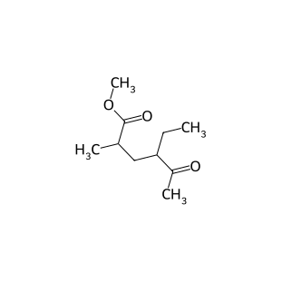 CCC(CC(C)C(=O)OC)C(C)=O